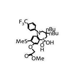 CCCCC1(CCCC)CN(c2ccc(C(F)(F)F)cc2)c2cc(SC)c(OCC(=O)OC)cc2S(O)(O)C1